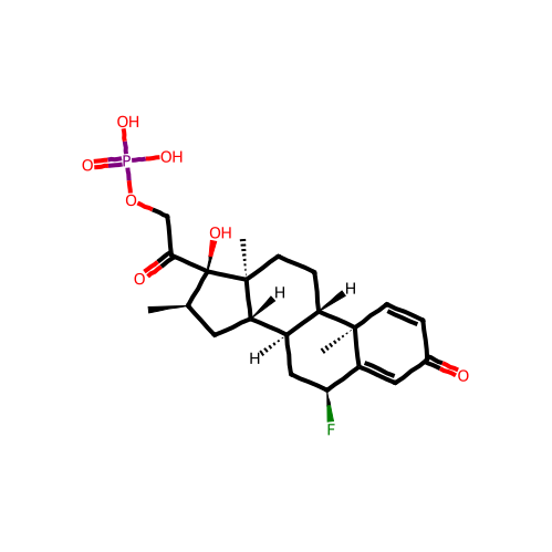 C[C@@H]1C[C@H]2[C@@H]3C[C@H](F)C4=CC(=O)C=C[C@]4(C)[C@H]3CC[C@]2(C)[C@@]1(O)C(=O)COP(=O)(O)O